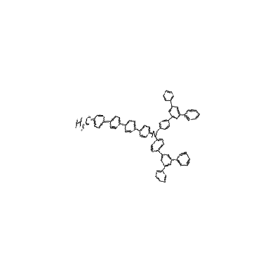 Cc1ccc(-c2ccc(-c3ccc(-c4ccc(N(c5ccc(-c6cc(-c7ccccc7)cc(-c7ccccc7)c6)cc5)c5ccc(-c6cc(-c7ccccc7)cc(-c7ccccc7)c6)cc5)cc4)cc3)cc2)cc1